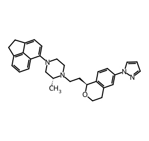 C[C@@H]1CN(c2ccc3c4c(cccc24)CC3)CCN1CC[C@@H]1OCCc2cc(-n3cccn3)ccc21